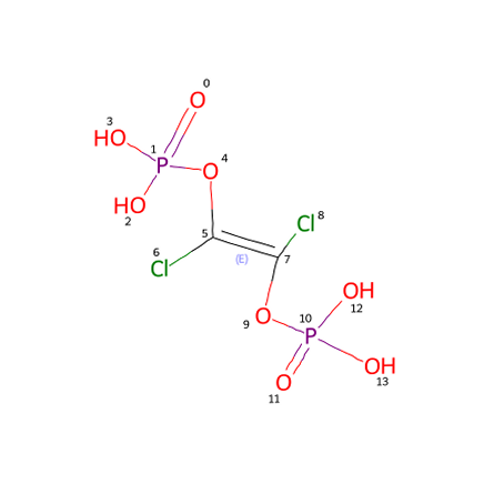 O=P(O)(O)O/C(Cl)=C(\Cl)OP(=O)(O)O